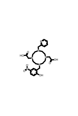 O=C(O)CN1CCN(Cc2ccccn2)CCN(CC(=O)O)CCN(Cc2cc([N+](=O)[O-])ccc2O)CC1